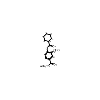 CCCCCCCC(=O)c1ccc(OC(=O)C2CCCCC2)c(C=O)c1